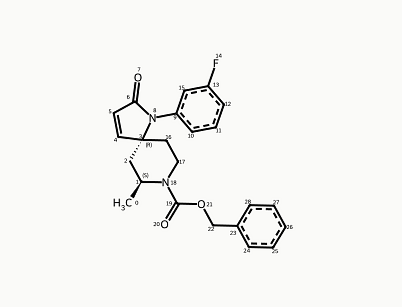 C[C@H]1C[C@@]2(C=CC(=O)N2c2cccc(F)c2)CCN1C(=O)OCc1ccccc1